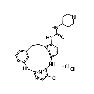 Cl.Cl.O=C(Nc1ccc2cc1CCc1cccc(c1)Nc1ncc(Cl)c(n1)N2)NC1CCNCC1